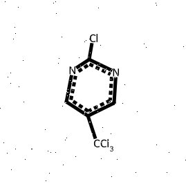 Clc1ncc(C(Cl)(Cl)Cl)cn1